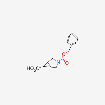 O=C(O)C1C2CN(C(=O)OCc3ccccc3)CC21